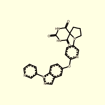 O=C1NC(=O)C2(CCCN2c2ccc(Oc3ccc4c(cnn4-c4cccnc4)c3)nc2)C(=O)N1